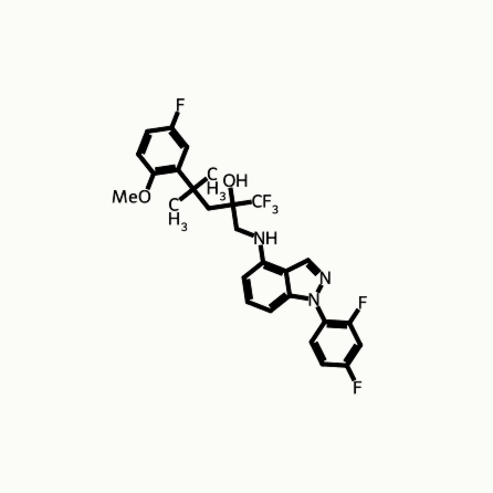 COc1ccc(F)cc1C(C)(C)CC(O)(CNc1cccc2c1cnn2-c1ccc(F)cc1F)C(F)(F)F